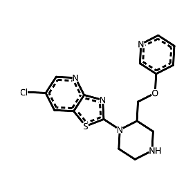 Clc1cnc2nc(N3CCNCC3COc3cccnc3)sc2c1